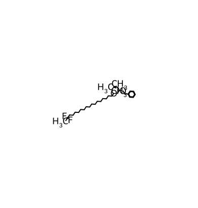 CC(C)(C)CC(COCCCCCCCCCCCCCCCCC(C)(F)F)OCc1ccccc1